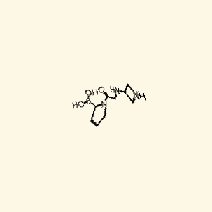 O=C(CNC1CNC1)N1CCC[C@H]1B(O)O